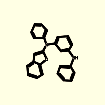 c1ccc(Nc2cccc(N(c3ccccc3)c3cc4ccccc4o3)c2)cc1